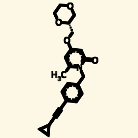 Cc1cc(OC[C@H]2COCCO2)cc(=O)n1Cc1ccc(C#CC2CC2)cc1